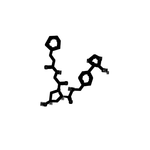 Cc1ncsc1-c1ccc(CNC(=O)[C@@H]2C[C@@H](O)CN2C(=O)CNC(=O)CCc2ccccc2)cc1